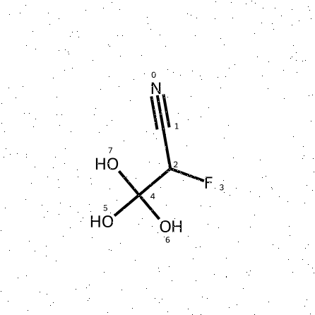 N#CC(F)C(O)(O)O